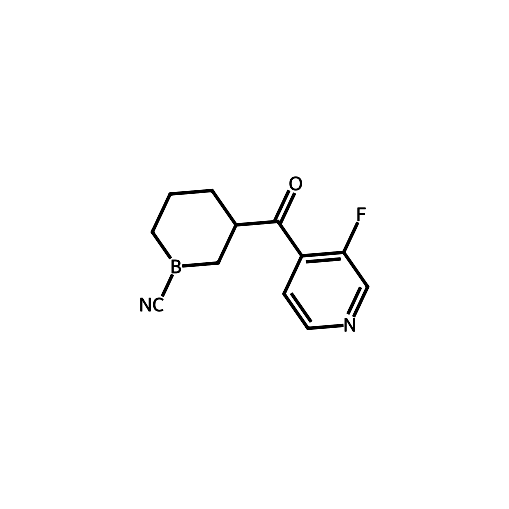 N#CB1CCCC(C(=O)c2ccncc2F)C1